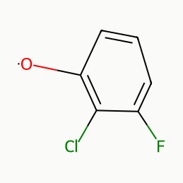 [O]c1cccc(F)c1Cl